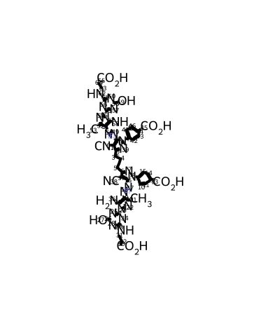 [C-]#[N+]c1c(CCCc2nn(-c3ccc(C(=O)O)cc3)c(/N=N/c3c(C)nn(-c4nc(O)nc(NCCC(=O)O)n4)c3N)c2C#N)nn(-c2ccc(C(=O)O)cc2)c1/N=N/c1c(C)nn(-c2nc(O)nc(NCCC(=O)O)n2)c1N